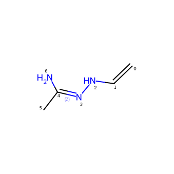 C=CN/N=C(/C)N